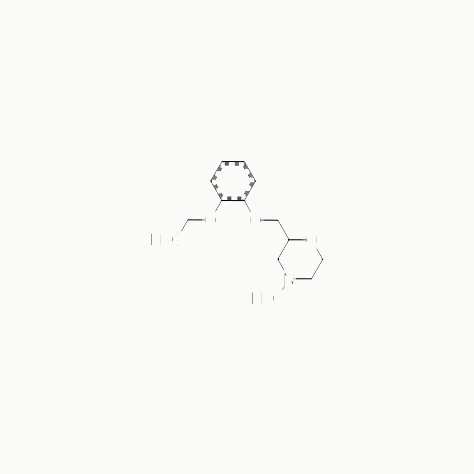 CCOc1ccccc1OCC1CN(C)CCO1